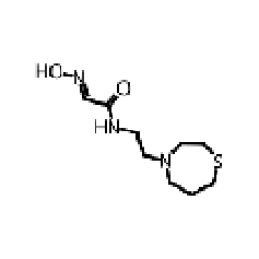 O=C(C=NO)NCCN1CCCSCC1